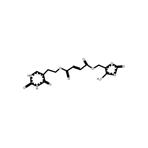 Cc1oc(=O)oc1COC(=O)/C=C/C(=O)OCCc1c[nH]c(=O)[nH]c1=O